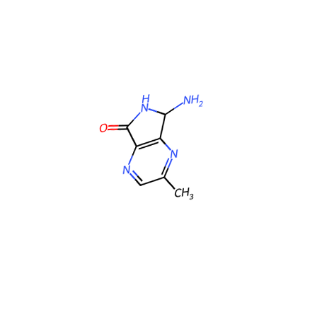 Cc1cnc2c(n1)C(N)NC2=O